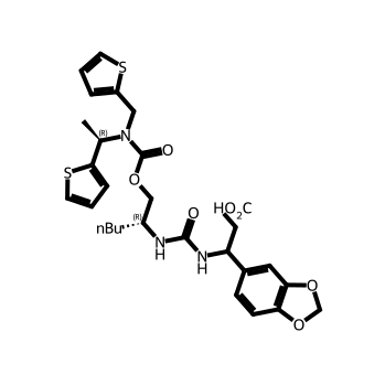 CCCC[C@H](COC(=O)N(Cc1cccs1)[C@H](C)c1cccs1)NC(=O)NC(CC(=O)O)c1ccc2c(c1)OCO2